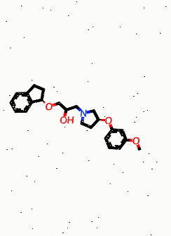 COc1cccc(O[C@H]2CCN(CC(O)CO[C@H]3CCc4ccccc43)C2)c1